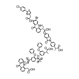 CC(C(=O)O)c1ccc(N2Cc3ccccc3C2=O)cc1.CC(C(=O)O)c1cccc(Oc2ccccc2)c1.CS(=O)(=O)Nc1ccc([N+](=O)[O-])cc1Oc1ccccc1.Nc1c(CC(=O)O)cccc1C(=O)c1ccc(Br)cc1.Nc1c(CC(=O)O)cccc1C(=O)c1ccccc1.O=C(O)Cc1csc(-c2ccc(Cl)cc2)n1